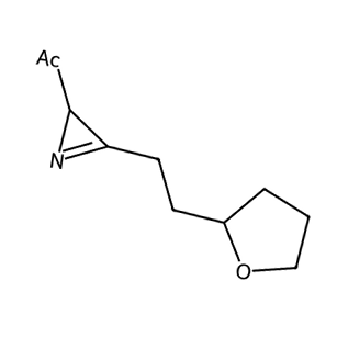 CC(=O)C1N=C1CCC1CCCO1